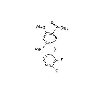 COC(=O)c1cc(Cc2cccc(Cl)c2F)c(OC)cc1OC